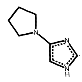 [c]1nc(N2CCCC2)c[nH]1